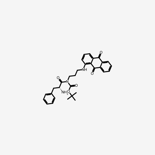 CC(C)(C)OC(=O)N(CCCNc1cccc2c1C(=O)c1ccccc1C2=O)C(=O)[C@H](N)Cc1ccccc1